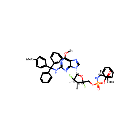 CCOc1nc(NC(c2ccccc2)(c2ccccc2)c2ccc(OC)cc2)nc2c1ncn2[C@@H]1O[C@](F)(COP(=O)(N[C@@H](C)C(=O)OCC(C)C)Oc2ccccc2)[C@@H](C)[C@@]1(C)F